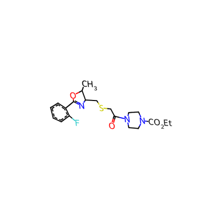 CCOC(=O)N1CCN(C(=O)CSCC2N=C(c3ccccc3F)OC2C)CC1